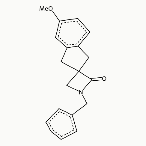 COc1ccc2c(c1)CC1(C2)CN(Cc2ccccc2)C1=O